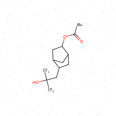 CCC(C)C(=O)OC1CC2CC1CC2CC(O)(C(F)(F)F)C(F)(F)F